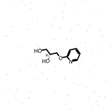 OC[C@@H](O)COc1ccccn1